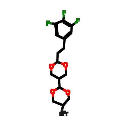 CCCC1COC(C2COC(CCc3cc(F)c(F)c(F)c3)OC2)OC1